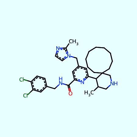 Cc1nccn1Cc1cc(C(=O)NCc2ccc(Cl)c(Cl)c2)nc(C2C(C)CNCC23CCCCCCCCC3)c1